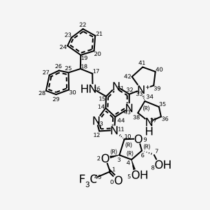 O=C(O[C@@H]1[C@H](O)[C@@H](CO)O[C@H]1n1cnc2c(NCC(c3ccccc3)c3ccccc3)nc([N+]3([C@@H]4CCNC4)CCCC3)nc21)C(F)(F)F